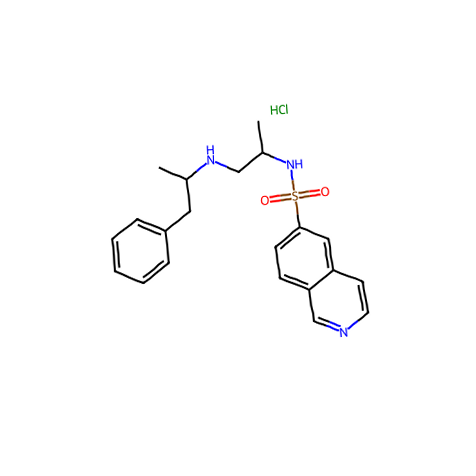 CC(Cc1ccccc1)NCC(C)NS(=O)(=O)c1ccc2cnccc2c1.Cl